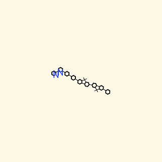 CC1(C)c2cc(-c3ccccc3)ccc2-c2ccc(-c3ccc4c(c3)C(C)(C)c3cc(-c5ccc(-c6ccc(-c7cccc(-c8ccccn8)n7)cc6)cc5)ccc3-4)cc21